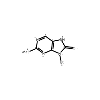 CCn1c(=O)[nH]c2cnc(SC)nc21